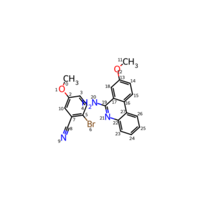 COc1ccc(Br)c(C#N)c1.COc1ccc2c(c1)c(N)nc1ccccc12